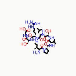 CC[C@H](C)[C@H](N)C(=O)N1CCC[C@H]1C(=O)N[C@H](C(=O)N[C@@H](CO)C(=O)N[C@@H](CC(C)C)C(=O)N[C@@H](CCCNC(=N)N)C(=O)N[C@@H](CO)C(=O)NCC(=O)O)C(C)C